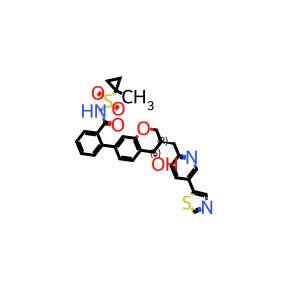 CC1(S(=O)(=O)NC(=O)c2ccccc2-c2ccc3c(c2)OC[C@@H](Cc2ccc(-c4cncs4)cn2)[C@@H]3O)CC1